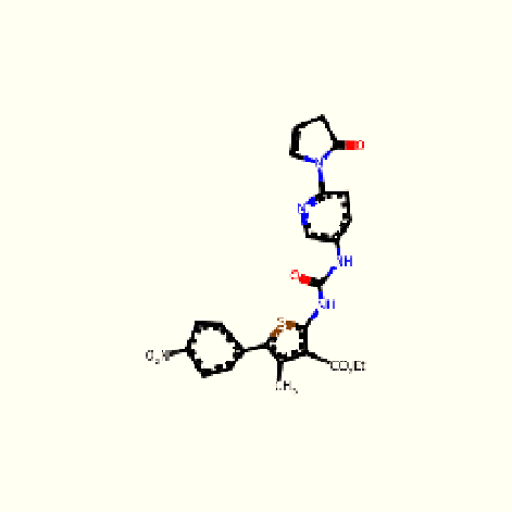 CCOC(=O)c1c(NC(=O)Nc2ccc(N3C=CCC3=O)nc2)sc(-c2ccc([N+](=O)[O-])cc2)c1C